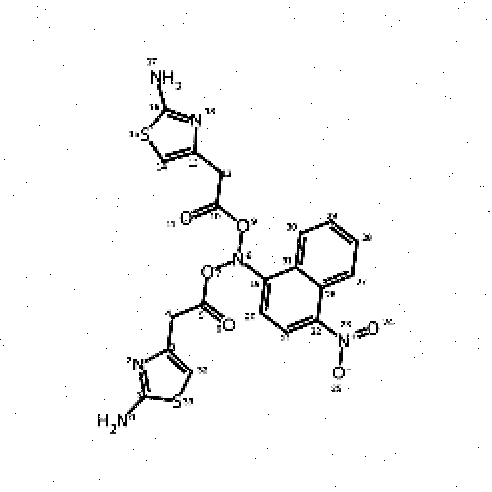 Nc1nc(CC(=O)ON(OC(=O)Cc2csc(N)n2)c2ccc([N+](=O)[O-])c3ccccc23)cs1